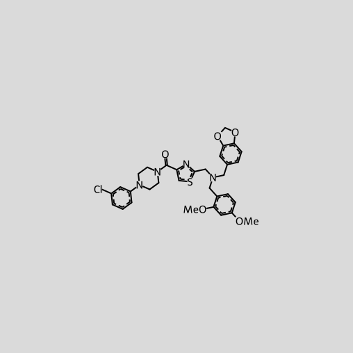 COc1ccc(CN(Cc2ccc3c(c2)OCO3)Cc2nc(C(=O)N3CCN(c4cccc(Cl)c4)CC3)cs2)c(OC)c1